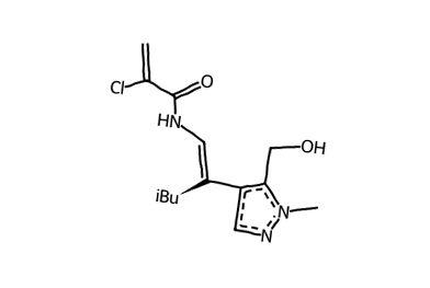 C=C(Cl)C(=O)N/C=C(/c1cnn(C)c1CO)[C@H](C)CC